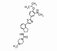 CNc1cc(-c2ncc(-c3cccc4c3CC[C@@H]4NC(=O)N3CCN(C)CC3)s2)ccc1OC(C)C